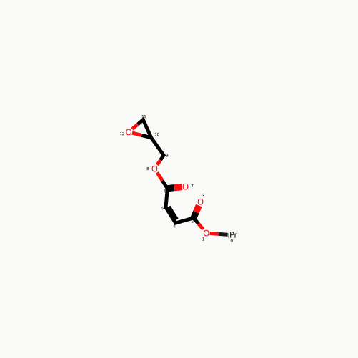 CC(C)OC(=O)/C=C\C(=O)OCC1CO1